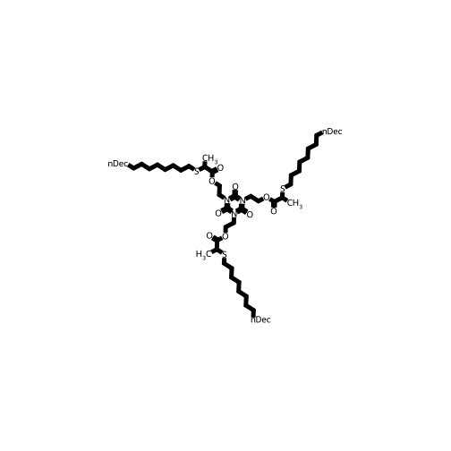 CCCCCCCCCCCCCCCCCCSC(C)C(=O)OCCn1c(=O)n(CCOC(=O)C(C)SCCCCCCCCCCCCCCCCCC)c(=O)n(CCOC(=O)C(C)SCCCCCCCCCCCCCCCCCC)c1=O